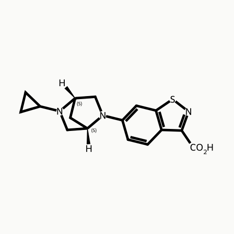 O=C(O)c1nsc2cc(N3C[C@@H]4C[C@H]3CN4C3CC3)ccc12